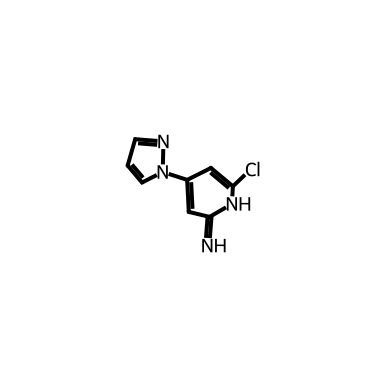 N=c1cc(-n2cccn2)cc(Cl)[nH]1